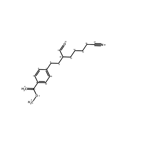 C=C(OC)c1ccc(CCC(C=O)CCCCC#N)cc1